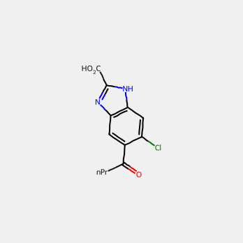 CCCC(=O)c1cc2nc(C(=O)O)[nH]c2cc1Cl